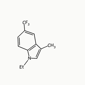 CCn1cc(C)c2cc(C(F)(F)F)ccc21